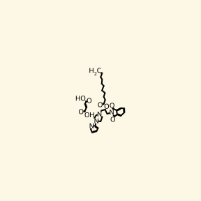 C=CCCCCCCCCC(=O)OC(CN1CCN(c2ccccn2)CC1)CN1C(=O)c2ccccc2C1=O.O=C(O)C=CC(=O)O